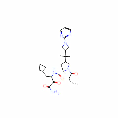 CC(C)(C)CC(=O)N1CC(C(C)(C)C2CN(c3ncccn3)C2)C[C@H]1C(=O)NC(CC1CCC1)C(=O)C(N)=O